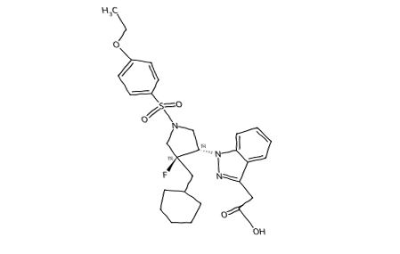 CCOc1ccc(S(=O)(=O)N2C[C@H](n3nc(CC(=O)O)c4ccccc43)[C@](F)(CC3CCCCC3)C2)cc1